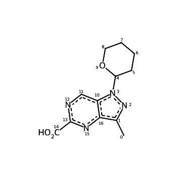 Cc1nn(C2CCCCO2)c2cnc(C(=O)O)nc12